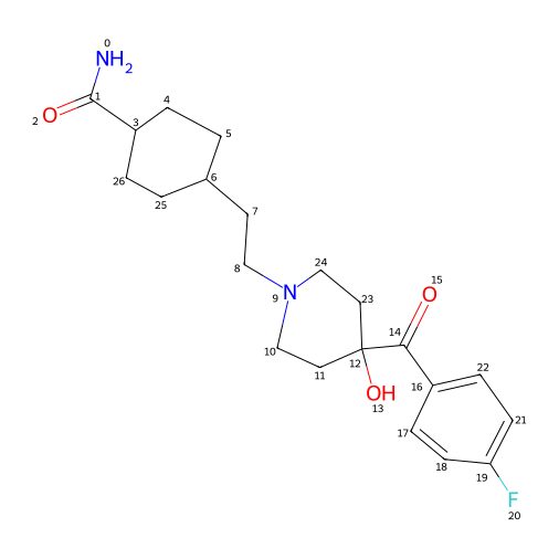 NC(=O)C1CCC(CCN2CCC(O)(C(=O)c3ccc(F)cc3)CC2)CC1